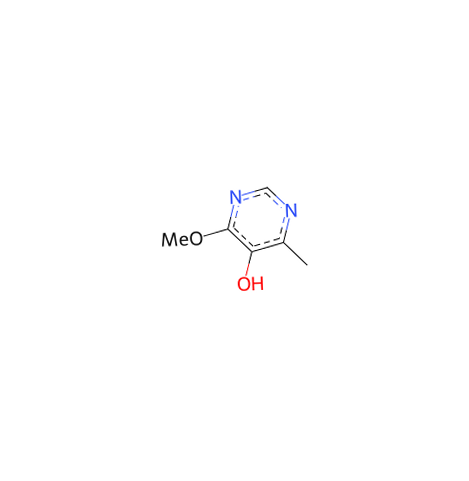 COc1ncnc(C)c1O